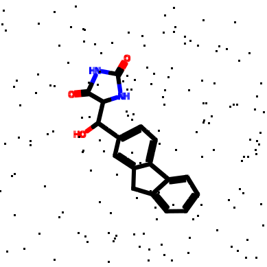 O=C1NC(=O)C(C(O)c2ccc3c(c2)Cc2ccccc2-3)N1